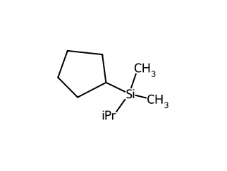 CC(C)[Si](C)(C)C1CCCC1